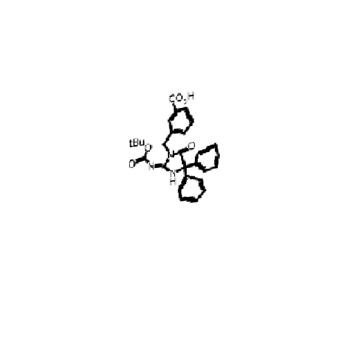 CC(C)(C)OC(=O)N=C1NC(c2ccccc2)(c2ccccc2)C(=O)N1Cc1cccc(C(=O)O)c1